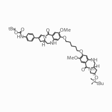 COc1cc2c(cc1OCCCCCOc1cc3c(cc1OC)C(=O)N1C[C@@H](O[Si](C)(C)C(C)(C)C)C[C@H]1CN3)NC[C@@H]1CC(c3ccc(NC(=O)OC(C)(C)C)cc3)=CN1C2=O